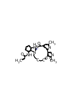 C=CC(=O)Nc1cccc2c1N1CCCCCOc3c(cnn3C)-c3cc(cc(C)n3)C(=O)/N=C/1N2